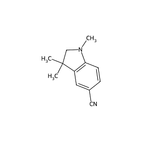 CN1CC(C)(C)c2cc(C#N)ccc21